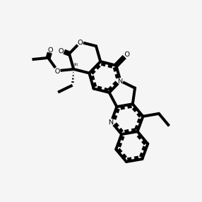 CCc1c2c(nc3ccccc13)-c1cc3c(c(=O)n1C2)COC(=O)[C@]3(CC)OC(C)=O